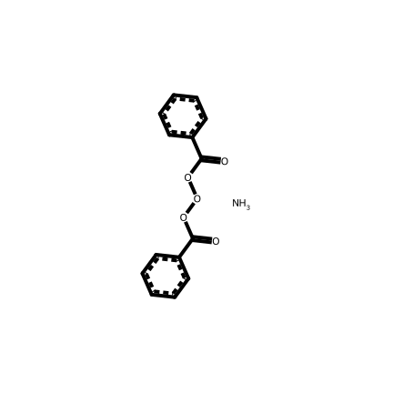 N.O=C(OOOC(=O)c1ccccc1)c1ccccc1